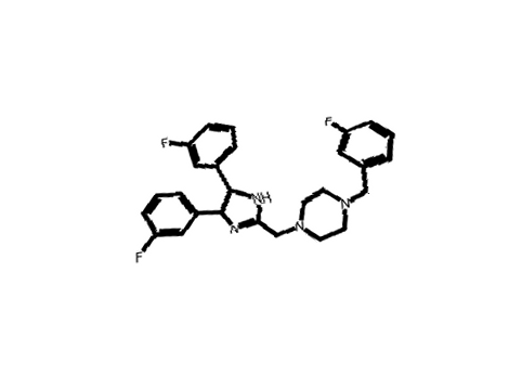 Fc1cccc(CN2CCN(CC3=NC(c4cccc(F)c4)C(c4cccc(F)c4)N3)CC2)c1